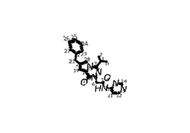 CC(C)c1nn(CC(=O)Nc2ccncn2)c(=O)c2cc(Cc3ccccc3)cn12